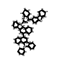 c1ccc(-n2c3ccccc3c3cc(-c4cc5c6ccccc6n(-c6nc(-c7ccc8oc9ccccc9c8c7)c7ccccc7n6)c5c5ccccc45)c4ccccc4c32)cc1